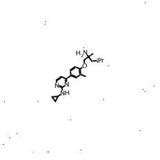 Cc1cc(-c2ccnc(NC3CC3)n2)ccc1OCC(C)(N)CC(C)C